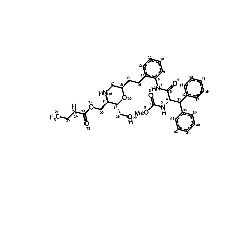 COC(=O)N[C@H](C(=O)Nc1ccccc1CC[C@@H]1CN[C@H](COC(=O)NCC(F)(F)F)[C@@H](CO)O1)C(c1ccccc1)c1ccccc1